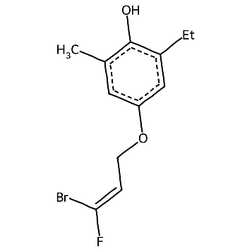 CCc1cc(OCC=C(F)Br)cc(C)c1O